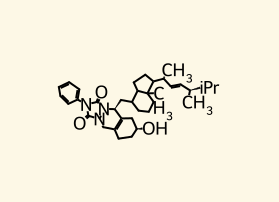 CC(C)[C@@H](C)/C=C/[C@@H](C)C1CCC2C(C[C@H]3C4=C(CC[C@H](O)C4)Cn4c(=O)n(-c5ccccc5)c(=O)n43)CCCC21C